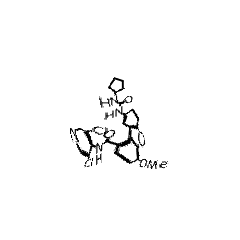 COc1ccc(C(=O)Nc2c(Cl)cncc2Cl)c2c1oc1ccc(NC(=O)NC3CCCC3)cc12